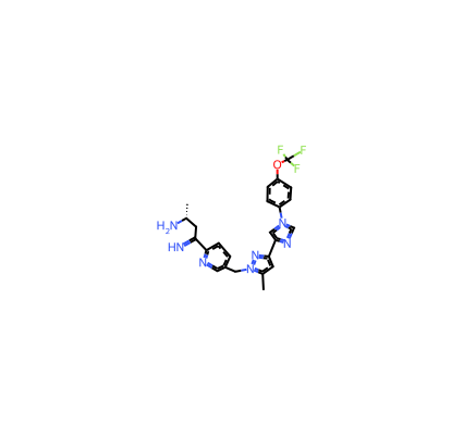 Cc1cc(-c2cn(-c3ccc(OC(F)(F)F)cc3)cn2)nn1Cc1ccc(C(=N)C[C@@H](C)N)nc1